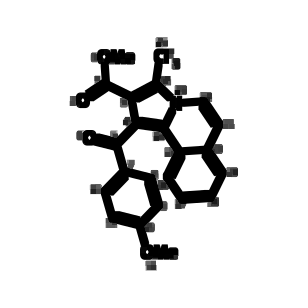 COC(=O)c1c(C(=O)c2ccc(OC)cc2)c2c3ccccc3ccn2c1C(F)(F)F